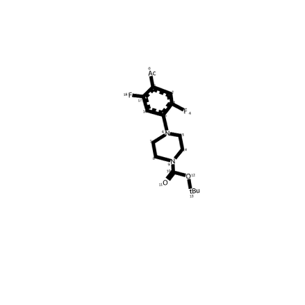 CC(=O)c1cc(F)c(N2CCN(C(=O)OC(C)(C)C)CC2)cc1F